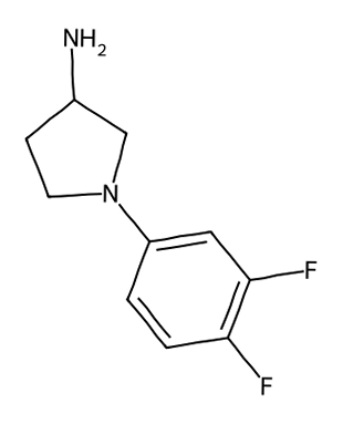 NC1CCN(c2ccc(F)c(F)c2)C1